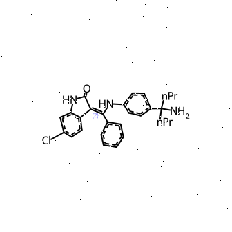 CCCC(N)(CCC)c1ccc(N/C(=C2\C(=O)Nc3cc(Cl)ccc32)c2ccccc2)cc1